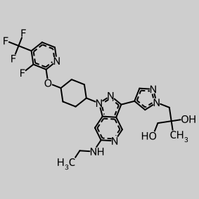 CCNc1cc2c(cn1)c(-c1cnn(CC(C)(O)CO)c1)nn2C1CCC(Oc2nccc(C(F)(F)F)c2F)CC1